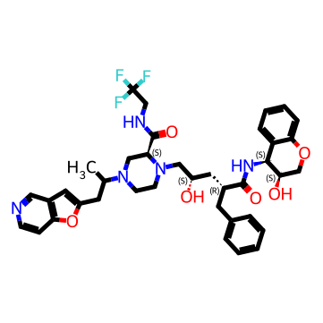 CC(Cc1cc2cnccc2o1)N1CCN(C[C@@H](O)C[C@@H](Cc2ccccc2)C(=O)N[C@H]2c3ccccc3OC[C@H]2O)[C@H](C(=O)NCC(F)(F)F)C1